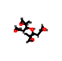 CC1(C(CC2CO2)OC(CC2CO2)C2(C)CO2)CO1